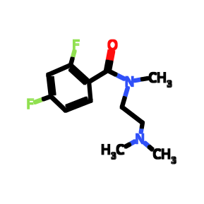 CN(C)CCN(C)C(=O)c1ccc(F)cc1F